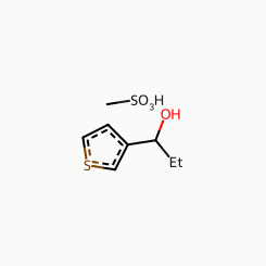 CCC(O)c1ccsc1.CS(=O)(=O)O